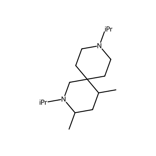 CC(C)N1CCC2(CC1)CN(C(C)C)C(C)CC2C